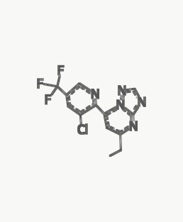 CCc1cc(-c2ncc(C(F)(F)F)cc2Cl)n2ncnc2n1